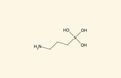 NCCC[Si](O)(O)O